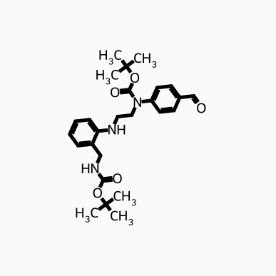 CC(C)(C)OC(=O)NCc1ccccc1NCCN(C(=O)OC(C)(C)C)c1ccc(C=O)cc1